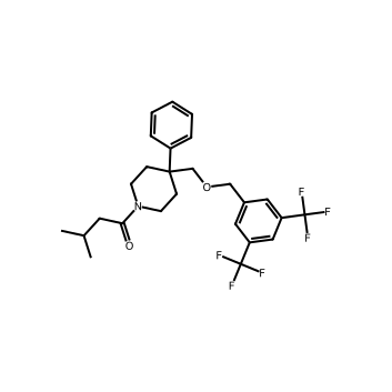 CC(C)CC(=O)N1CCC(COCc2cc(C(F)(F)F)cc(C(F)(F)F)c2)(c2ccccc2)CC1